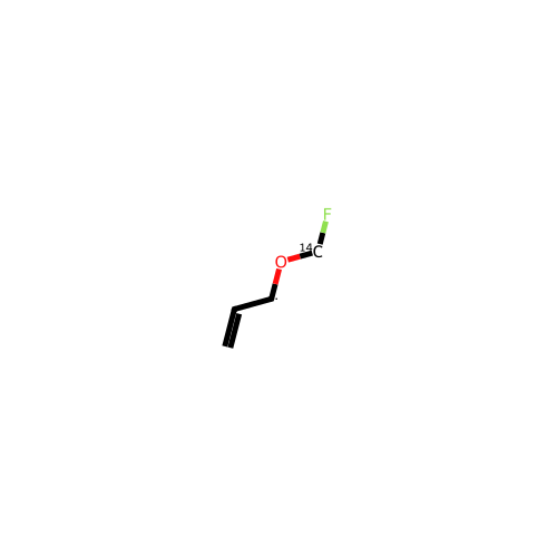 C=C[CH]O[14CH2]F